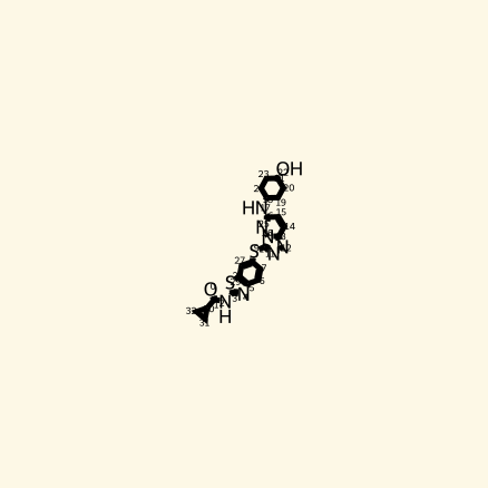 O=C(Nc1nc2ccc(Sc3nnc4ccc(NC5CCC(O)CC5)nn34)cc2s1)C1CC1